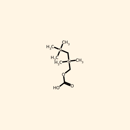 C[Si](C)(C)C[Si](C)(C)COC(=O)O